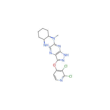 CN(c1cnc2c(Oc3ccnc(Cl)c3Cl)n[nH]c2n1)[C@@H]1CCCC[C@@H]1N